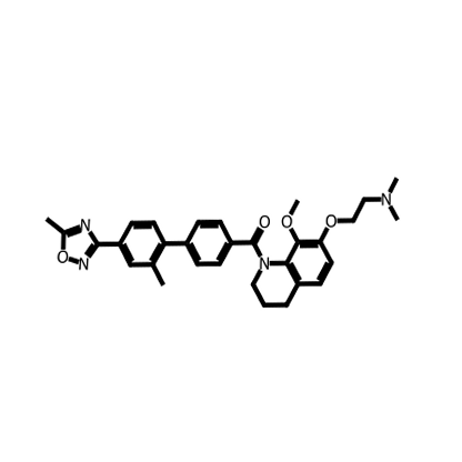 COc1c(OCCN(C)C)ccc2c1N(C(=O)c1ccc(-c3ccc(-c4noc(C)n4)cc3C)cc1)CCC2